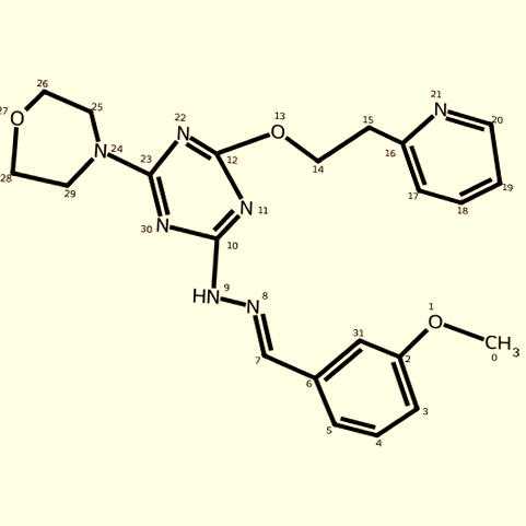 COc1cccc(C=NNc2nc(OCCc3ccccn3)nc(N3CCOCC3)n2)c1